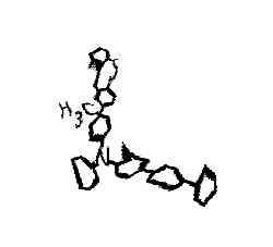 CC1(c2ccc3sc4ccccc4c3c2)C=CC(N(c2ccccc2)c2ccc(-c3ccc(-c4ccccc4)cc3)cc2)=CC1